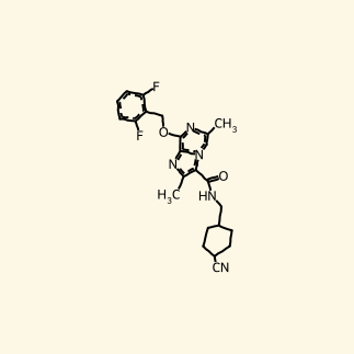 Cc1cn2c(C(=O)NCC3CCC(C#N)CC3)c(C)nc2c(OCc2c(F)cccc2F)n1